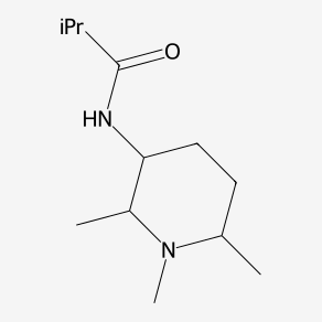 CC(C)C(=O)NC1CCC(C)N(C)C1C